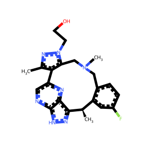 Cc1nn(CCO)c2c1-c1cnc3[nH]nc(c3n1)[C@H](C)c1cc(F)ccc1CN(C)C2